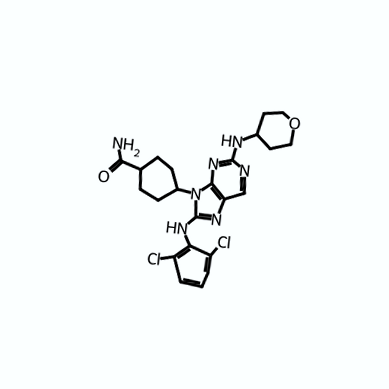 NC(=O)C1CCC(n2c(Nc3c(Cl)cccc3Cl)nc3cnc(NC4CCOCC4)nc32)CC1